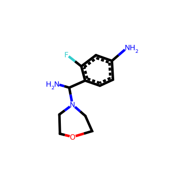 Nc1ccc(C(N)N2CCOCC2)c(F)c1